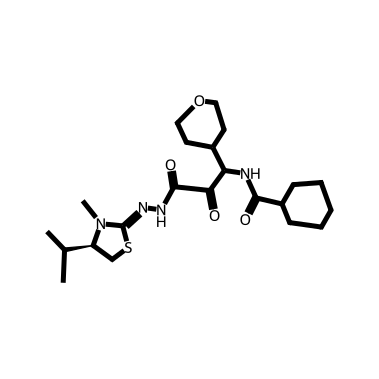 CC(C)[C@@H]1CSC(=NNC(=O)C(=O)C(NC(=O)C2CCCCC2)C2CCOCC2)N1C